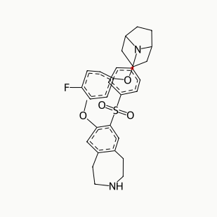 COc1cc2c(cc1S(=O)(=O)c1ccc(N3C4CCC3CC(Oc3ccc(F)cc3)C4)cc1)CCNCC2